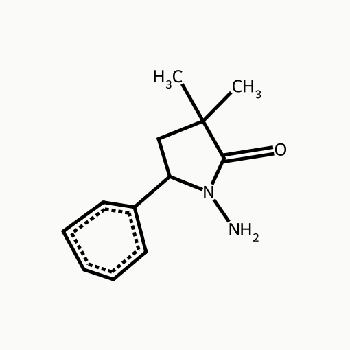 CC1(C)CC(c2ccccc2)N(N)C1=O